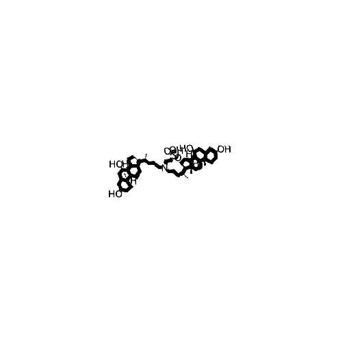 C[C@H](CCCN(CCC[C@@H](C)[C@H]1CCC2C1CC[C@H]1[C@H]2[C@@H](O)CC2C[C@H](O)CC[C@@]21C)CCS(=O)(=O)O)[C@H]1CCC2[C@@H]3[C@@H](O)CC4C[C@H](O)CC[C@]4(C)[C@H]3CC[C@@]21C